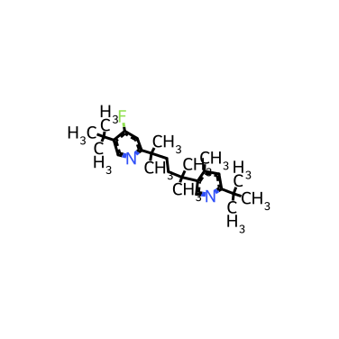 Cc1cc(C(C)(C)C)ncc1C(C)(C)CCC(C)(C)c1cc(F)c(C(C)(C)C)cn1